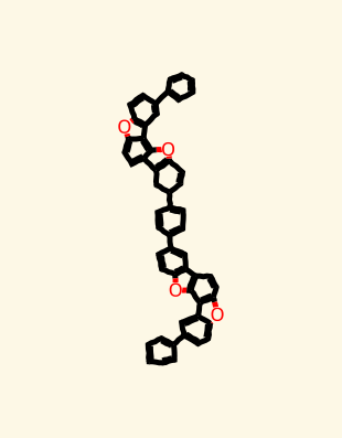 C1=CC(c2ccc(-c3ccc4oc5c(ccc6oc7ccc(-c8ccccc8)cc7c65)c4c3)cc2)Cc2c1oc1c2ccc2oc3ccc(-c4ccccc4)cc3c21